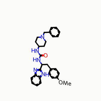 COc1ccc(CC(NC(=O)NC2CCN(Cc3ccccc3)CC2)c2nc3ccccc3[nH]2)cc1